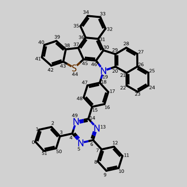 c1ccc(-c2nc(-c3ccccc3)nc(-c3ccc(-n4c5c6ccccc6ccc5c5c6ccccc6c6c7ccccc7sc6c54)cc3)n2)cc1